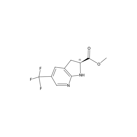 COC(=O)[C@@H]1Cc2cc(C(F)(F)F)cnc2N1